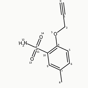 C#CCOc1ccc(C)cc1S(N)(=O)=O